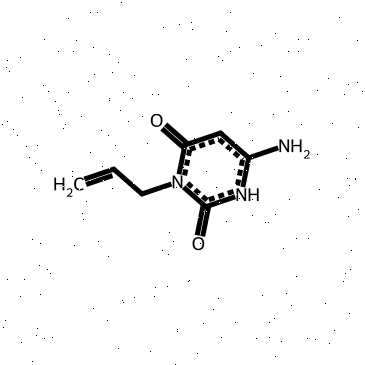 C=CCn1c(=O)cc(N)[nH]c1=O